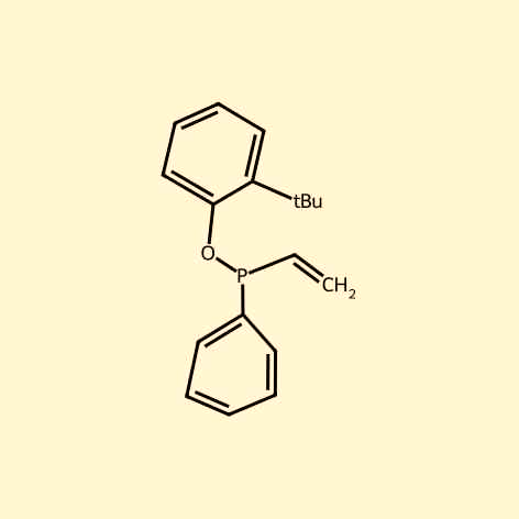 C=CP(Oc1ccccc1C(C)(C)C)c1ccccc1